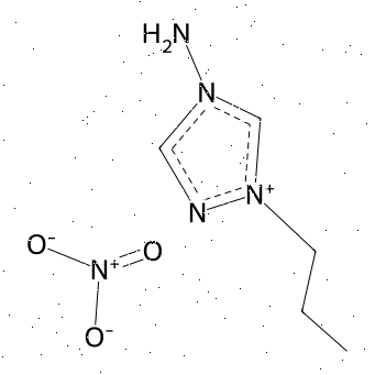 CCC[n+]1cn(N)cn1.O=[N+]([O-])[O-]